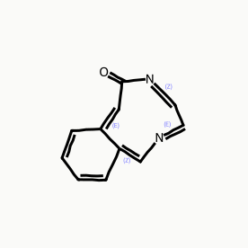 O=C1\C=c2/cccc/c2=C/N=C/C=N\1